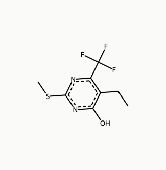 CCc1c(O)nc(SC)nc1C(F)(F)F